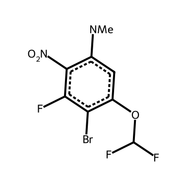 CNc1cc(OC(F)F)c(Br)c(F)c1[N+](=O)[O-]